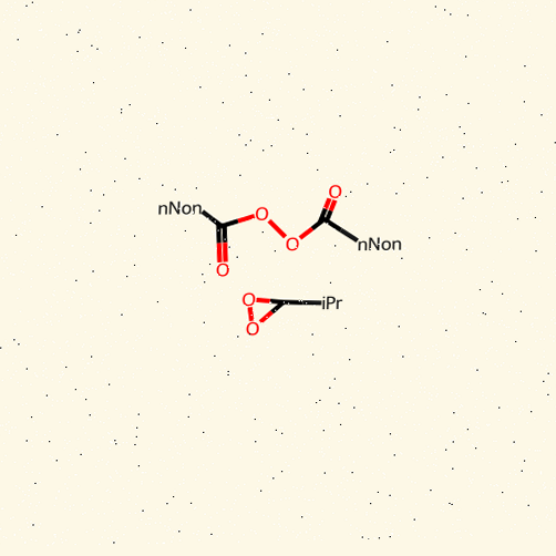 CC(C)C1OO1.CCCCCCCCCC(=O)OOC(=O)CCCCCCCCC